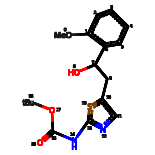 COc1ccccc1C(O)Cc1cnc(NC(=O)OC(C)(C)C)s1